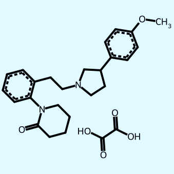 COc1ccc(C2CCN(CCc3ccccc3N3CCCCC3=O)C2)cc1.O=C(O)C(=O)O